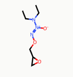 CCN(CC)/[N+]([O-])=N/OCC1CO1